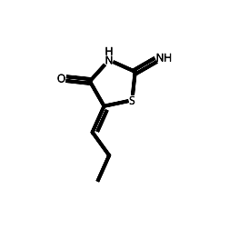 CC/C=C1\SC(=N)NC1=O